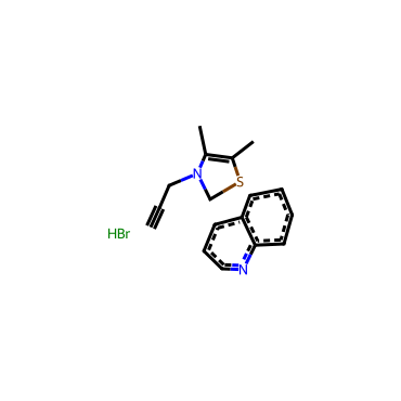 Br.C#CCN1CSC(C)=C1C.c1ccc2ncccc2c1